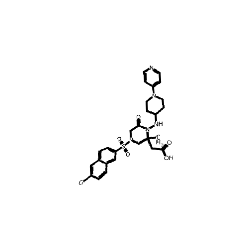 CC1(CC(=O)O)CN(S(=O)(=O)c2ccc3cc(Cl)ccc3c2)CC(=O)N1NC1CCN(c2ccncc2)CC1